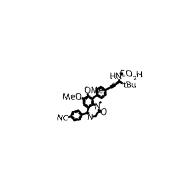 COc1cc2c(c(-c3ccc(C#CC(NC(=O)O)C(C)(C)C)cc3)c1OC)N(C)C(=O)CN=C2c1ccc(C#N)cc1